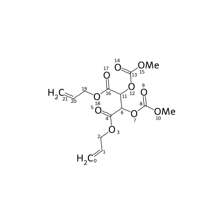 C=CCOC(=O)C(OC(=O)OC)C(OC(=O)OC)C(=O)OCC=C